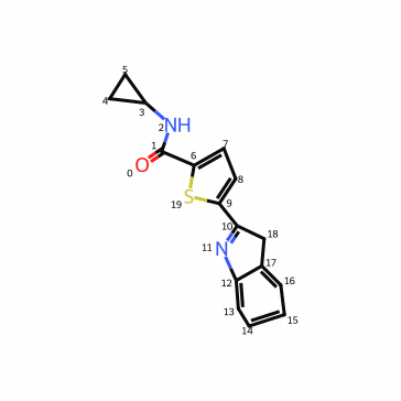 O=C(NC1CC1)c1ccc(C2=Nc3ccccc3C2)s1